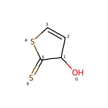 OC1C=CSC1=S